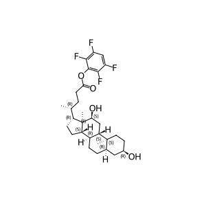 C[C@H](CCC(=O)Oc1c(F)c(F)cc(F)c1F)[C@H]1CC[C@H]2[C@@H]3CC[C@@H]4C[C@H](O)CC[C@]4(C)[C@H]3C[C@H](O)[C@]12C